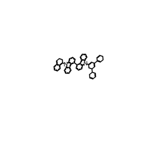 C1=CCC(C2C=C(C3=CCCC=C3)C=C(n3c4ccccc4c4c(-c5cccc6c5c5ccccc5n6C5=c6ccccc6=CCC5)cccc43)C2)C=C1